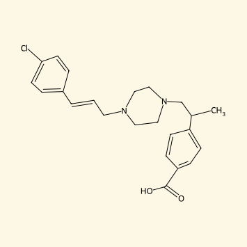 CC(CN1CCN(CC=Cc2ccc(Cl)cc2)CC1)c1ccc(C(=O)O)cc1